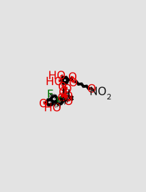 CC1(C)O[C@@H]2CC3C4C[C@H](F)C5=CC(=O)C=C[C@]5(C)[C@@]4(F)[C@@H](O)C[C@]3(C)[C@]2(C(=O)COC(=O)Oc2cc(C(=O)OCCCCCCO[N+](=O)[O-])cc(O)c2O)O1